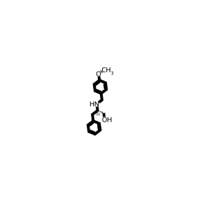 COc1ccc(CN[C@H](CO)Cc2ccccc2)cc1